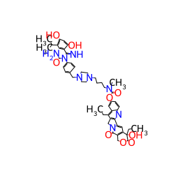 CCc1c2c(nc3ccc(OC(=O)N(C)CCCCN4CCN(Cc5ccc(N(C(=N)c6cc(C(C)C)c(O)cc6O)C(N)=O)cc5)CC4)cc13)-c1cc3c(c(=O)n1C2)COC(=O)C3(O)CC